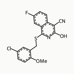 COc1ccc(Cl)cc1CSc1nc(O)c(C#N)c2ccc(F)cc12